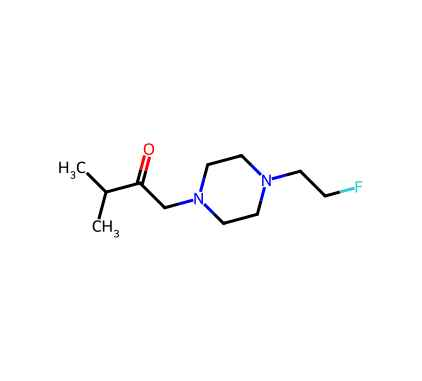 CC(C)C(=O)CN1CCN(CCF)CC1